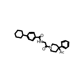 CC(=O)C1(c2ccccc2)CCN(C(=O)CNC(=O)c2ccc(C3CCCCC3)cc2)CC1